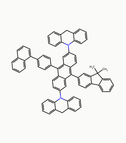 CC1(C)c2ccccc2-c2ccc(-c3c4ccc(N5c6ccccc6Cc6ccccc65)cc4c(-c4ccc(-c5cccc6ccccc56)cc4)c4ccc(N5c6ccccc6Cc6ccccc65)cc34)cc21